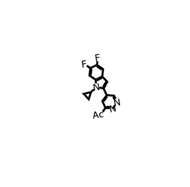 CC(=O)c1cc(-c2cc3cc(F)c(F)cc3n2C2CC2)cnn1